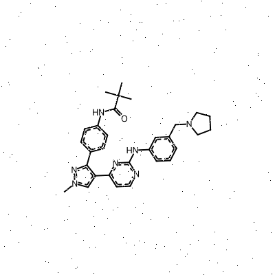 Cn1cc(-c2ccnc(Nc3cccc(CN4CCCC4)c3)n2)c(-c2ccc(NC(=O)C(C)(C)C)cc2)n1